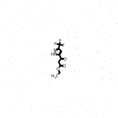 CCOC(=O)CC(=O)c1cc(C(F)(F)F)n[nH]1